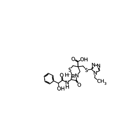 CCn1cnnc1SCC1(C(=O)O)CS[C@@H]2C(NC(=O)C(O)c3ccccc3)C(=O)N2C1